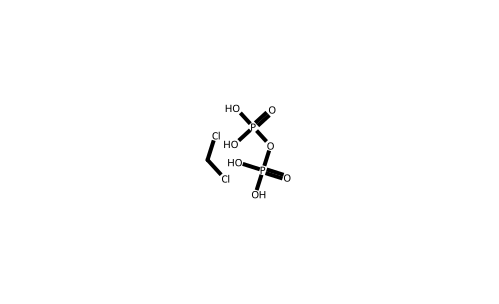 ClCCl.O=P(O)(O)OP(=O)(O)O